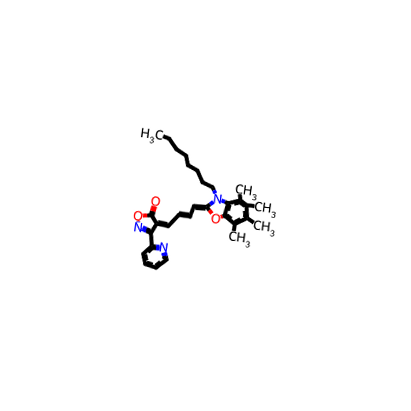 CCCCCCCCN1/C(=C/C=C/C=C2\C(=O)ON=C2c2ccccn2)Oc2c(C)c(C)c(C)c(C)c21